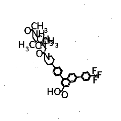 CC(=O)NCC(C)(C)ON(C)CC(=O)N1CCC(c2ccc(-c3cc(C(=O)O)cc4cc(-c5ccc(C(F)(F)F)cc5)ccc34)cc2)CC1